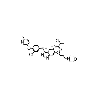 C=C(Cl)C(=O)Nc1cc2c(Nc3ccc(Oc4ccc(C)nc4)c(Cl)c3)ncnc2cc1OCCCN1CCOCC1